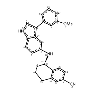 COc1cc(-c2n[nH]c3ccc(N[C@@H]4CCCc5cc(C#N)ccc54)cc23)ccn1